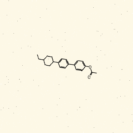 CCC1CCC(c2ccc(-c3ccc(OC(C)=O)cc3)cc2)CC1